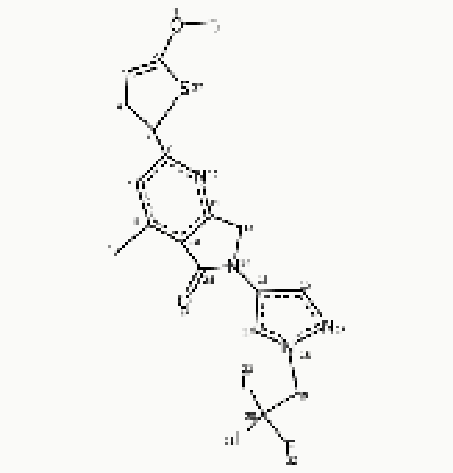 COC1=CCC(c2cc(C)c3c(n2)CN(c2cnn(CC(F)(F)F)c2)C3=O)S1